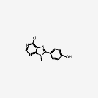 Cn1c(-c2ccc(O)cc2)nc2c(Cl)ncnc21